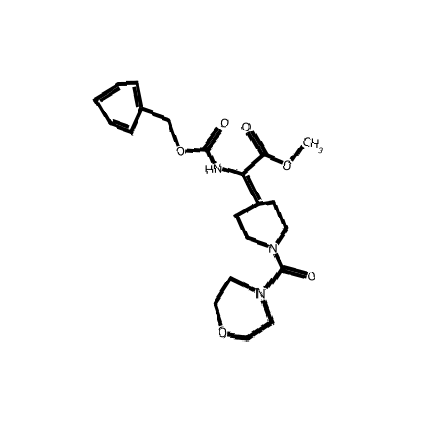 COC(=O)C(NC(=O)OCc1ccccc1)=C1CCN(C(=O)N2CCOCC2)CC1